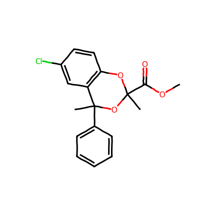 COC(=O)C1(C)Oc2ccc(Cl)cc2C(C)(c2ccccc2)O1